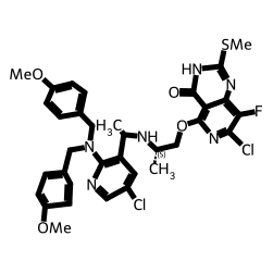 COc1ccc(CN(Cc2ccc(OC)cc2)c2ncc(Cl)cc2C(C)N[C@@H](C)COc2nc(Cl)c(F)c3nc(SC)[nH]c(=O)c23)cc1